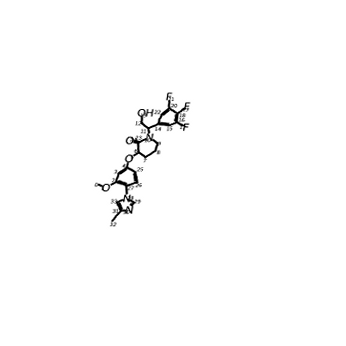 COc1cc(OC2CCCN(C(CO)c3cc(F)c(F)c(F)c3)C2=O)ccc1-n1cnc(C)c1